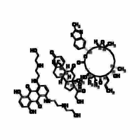 C=CC[C@H]1C(=O)C(C)(C)[C@@H](O)CC(=O)O[C@H](c2ccc3sc(C)nc3c2)C[C@@H]2O[C@]2(C)CCC[C@H](C)[C@@H]1O.C[C@]12C=CC(=O)C=C1CC[C@@H]1[C@@H]2C(=O)C[C@@]2(C)[C@H]1CC[C@]2(O)C(=O)CO.O=C1c2c(O)ccc(O)c2C(=O)c2c(NCCNCCO)ccc(NCCNCCO)c21